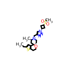 CCc1cc2c(s1)CCO[C@@]21CCN(Cc2cn([C@H]3C[C@H](S(C)(=O)=O)C3)nn2)[C@@H](C)C1